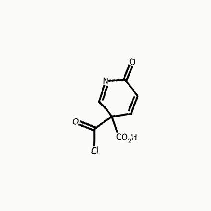 O=C1C=CC(C(=O)O)(C(=O)Cl)C=N1